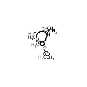 Cc1cc(OCC2COC(C)(C)O2)cc2c1C(=O)O[C@@H](C)[C@H](C)/C=C\C(C)C1OC(C)(C)O[C@H]1C/C=C/2